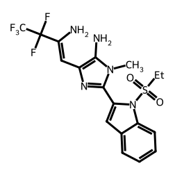 CCS(=O)(=O)n1c(-c2nc(/C=C(\N)C(F)(F)C(F)(F)F)c(N)n2C)cc2ccccc21